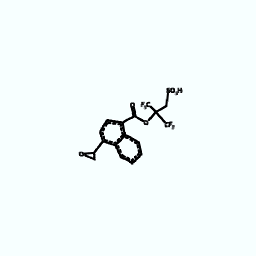 O=C(OC(CS(=O)(=O)O)(C(F)(F)F)C(F)(F)F)c1ccc(C2CO2)c2ccccc12